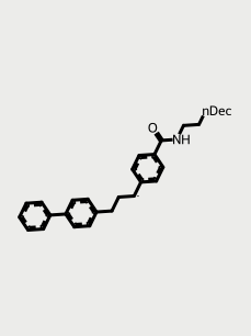 CCCCCCCCCCCCNC(=O)c1ccc([CH]CCc2ccc(-c3ccccc3)cc2)cc1